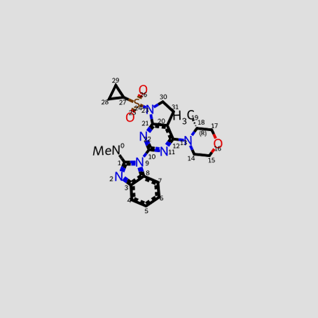 CNc1nc2ccccc2n1-c1nc(N2CCOC[C@H]2C)c2c(n1)N(S(=O)(=O)C1CC1)CC2